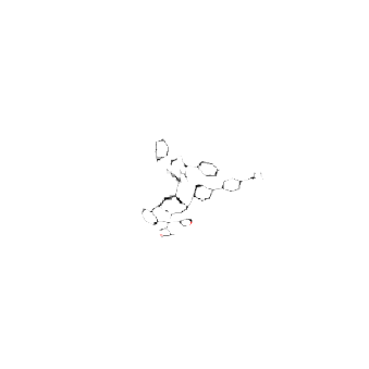 N#Cc1ccc(-c2ccc(-c3cc4c(cc3-c3nc(-c5ccccc5)nc(-c5ccccc5)n3)-c3ccccc3C43c4ccccc4Sc4ccccc43)cc2)cc1